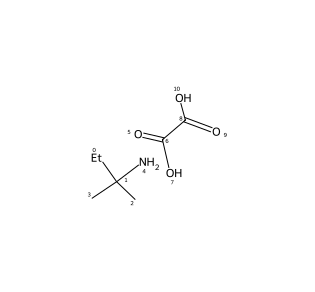 CCC(C)(C)N.O=C(O)C(=O)O